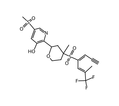 C#C/C=C(\C=C(/C)C(F)(F)F)S(=O)(=O)C1(C)CCOC(c2ncc(S(C)(=O)=O)cc2O)C1